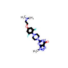 CN(C)CCOc1cc(F)c(N2CCN(c3nc4c(nnn4C)c(=O)[nH]3)CC2)c(F)c1